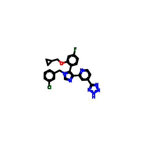 Fc1ccc(-c2c(-c3cc(-c4nn[nH]n4)ccn3)ncn2Cc2cccc(Cl)c2)c(OCC2CC2)c1